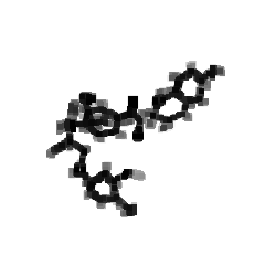 C=C(COc1ccc(Cl)c(F)c1)NC12CCC(NC(=O)[C@H]3CCc4cc(F)ccc4O3)(CC1)C[C@@H]2O